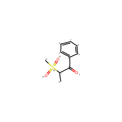 CC(C(=O)c1ccccc1)S(C)(=O)=O